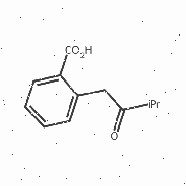 CC(C)C(=O)Cc1ccccc1C(=O)O